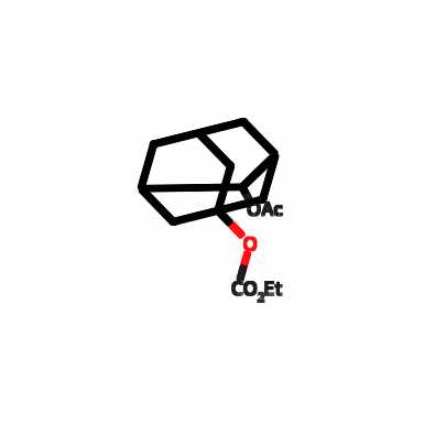 CCOC(=O)OC12CC3CC(C1)C(OC(C)=O)C(C3)C2